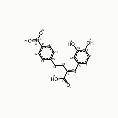 O=C(O)/C(=C/c1ccc(O)c(O)c1)CCc1ccc([N+](=O)[O-])cc1